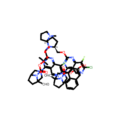 CN1CCC[C@H]1COc1nc(N2CC3CCC(C=O)(C2)N3C(=O)OC(C)(C)CCN2CCC[C@H]2COc2nc(N3CC4CCC(C=O)(C3)N4C(=O)OC(C)(C)C)c3cnc(Cl)c(F)c3n2)c2cnc(-c3cc(O)cc4ccccc34)c(F)c2n1